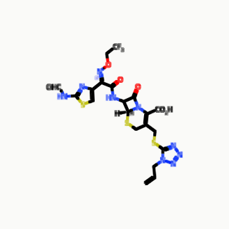 C=CCn1nnnc1SCC1=C(C(=O)O)N2C(=O)C(NC(=O)/C(=N\OCC(F)(F)F)c3csc(NC=O)n3)[C@H]2SC1